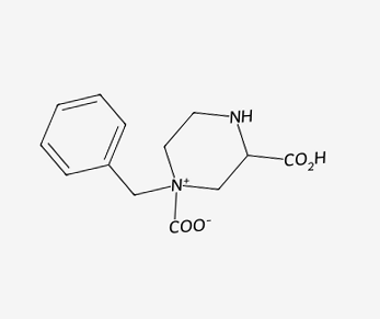 O=C(O)C1C[N+](Cc2ccccc2)(C(=O)[O-])CCN1